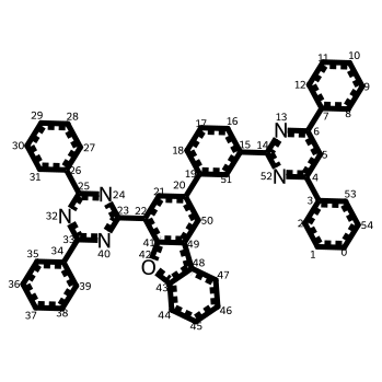 c1ccc(-c2cc(-c3ccccc3)nc(-c3cccc(-c4cc(-c5nc(-c6ccccc6)nc(-c6ccccc6)n5)c5oc6ccccc6c5c4)c3)n2)cc1